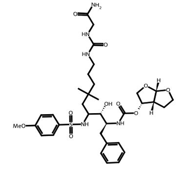 COc1ccc(S(=O)(=O)NC(CC(C)(C)CCCNC(=O)NCC(N)=O)[C@H](O)[C@H](Cc2ccccc2)NC(=O)O[C@@H]2CO[C@@H]3OCC[C@@H]32)cc1